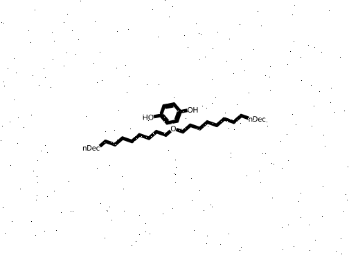 CCCCCCCCCCCCCCCCCCOCCCCCCCCCCCCCCCCCC.Oc1ccc(O)cc1